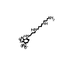 NCCCNCCCCNCCCNc1ccc([N+](=O)[O-])c2nonc12